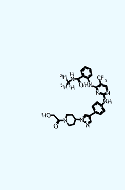 [2H]C([2H])([2H])NC(=O)c1ccccc1Nc1nc(Nc2ccc(-c3cnn(C4CCN(C(=O)CO)CC4)c3)cc2)ncc1C(F)(F)F